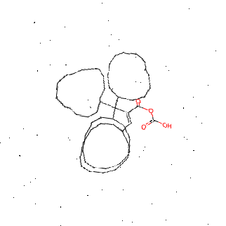 O=C(O)OC(=O)C(=CC1CCCCCCCCCCC1)C(C1CCCCCCCCCCC1)(C1CCCCCCCCCCC1)C1CCCCCCCCCCC1